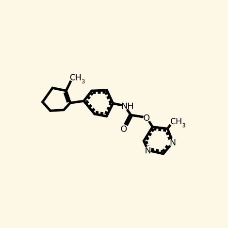 CC1=C(c2ccc(NC(=O)Oc3cncnc3C)cc2)CCCC1